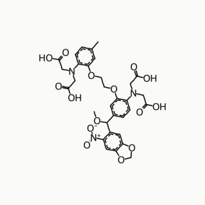 COC(c1ccc(N(CC(=O)O)CC(=O)O)c(OCCOc2cc(C)ccc2N(CC(=O)O)CC(=O)O)c1)c1cc2c(cc1[N+](=O)[O-])OCO2